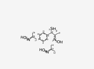 CC(=NO)C([SiH3])c1ccccc1.CC(C)=NO.CC(C)=NO